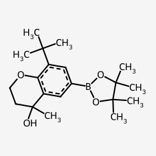 CC(C)(C)c1cc(B2OC(C)(C)C(C)(C)O2)cc2c1OCCC2(C)O